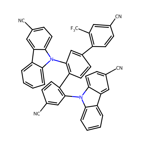 N#Cc1ccc(-c2ccc(-c3ccc(C#N)cc3C(F)(F)F)cc2-n2c3ccccc3c3cc(C#N)ccc32)c(-n2c3ccccc3c3cc(C#N)ccc32)c1